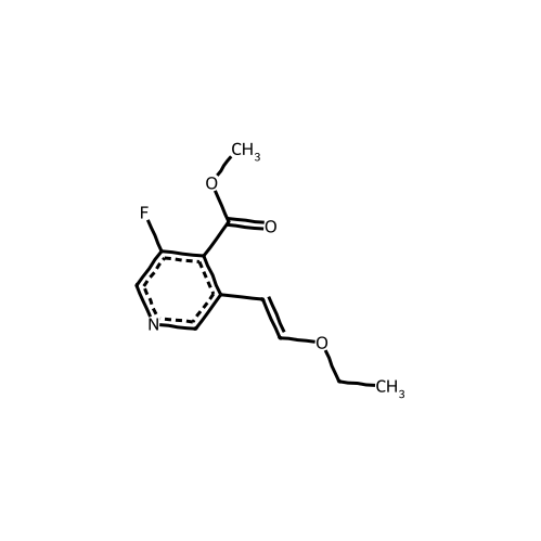 CCO/C=C/c1cncc(F)c1C(=O)OC